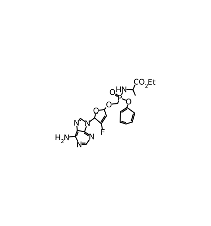 CCOC(=O)C(C)NP(=O)(COC1C=C(F)C(n2cnc3c(N)ncnc32)O1)Oc1ccccc1